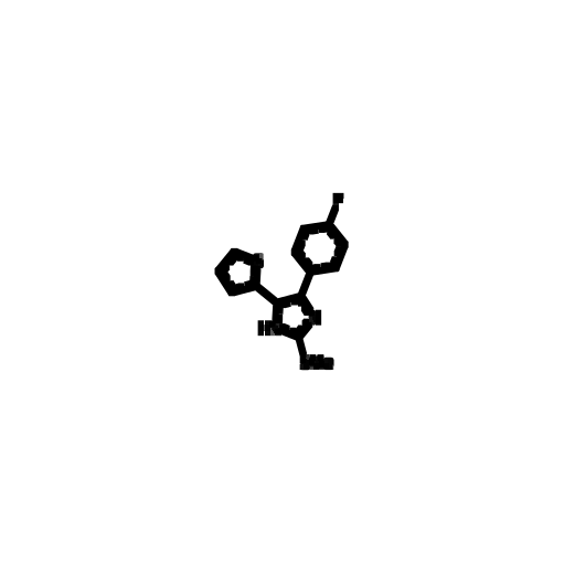 CSc1nc(-c2ccc(F)cc2)c(-c2cccs2)[nH]1